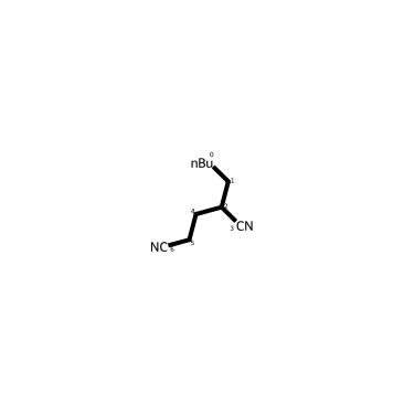 CCCCCC(C#N)CCC#N